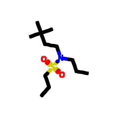 CCCN(CCC(C)(C)C)S(=O)(=O)CCC